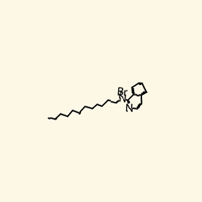 CCCCCCCCCCCCN(Br)c1nccc2ccccc12